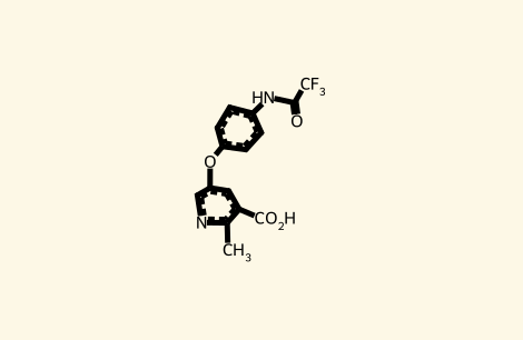 Cc1ncc(Oc2ccc(NC(=O)C(F)(F)F)cc2)cc1C(=O)O